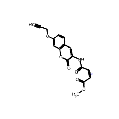 C#CCOc1ccc2cc(NC(=O)/C=C\C(=O)OC)c(=O)oc2c1